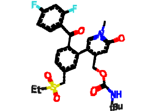 CCS(=O)(=O)Cc1ccc(C(=O)c2ccc(F)cc2F)c(-c2cn(C)c(=O)cc2COC(=O)NC(C)(C)C)c1